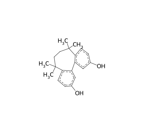 CC1(C)CCC(C)(C)c2ccc(O)cc2-c2cc(O)ccc21